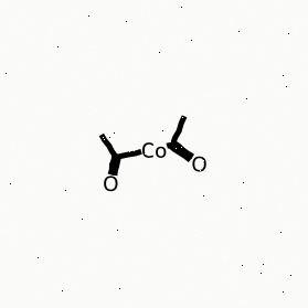 C[C](=O)[Co][C](C)=O